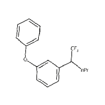 CCCC(c1cccc(Oc2ccccc2)c1)C(F)(F)F